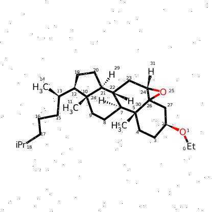 CCO[C@H]1CC[C@]2(C)[C@H]3CC[C@]4(C)[C@@H]([C@H](C)CCCC(C)C)CC[C@H]4[C@@H]3C[C@@H]3OC32C1